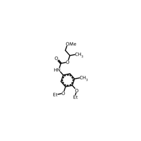 CCOc1cc(NC(=O)OC(C)COC)cc(C)c1OCC